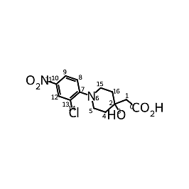 O=C(O)CC1(O)CCN(c2ccc([N+](=O)[O-])cc2Cl)CC1